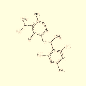 Cc1nc(C)c(C(C)Cc2ncc(C)c(C(C)C)c2Cl)c(C)n1